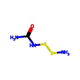 NSSNC(N)=O